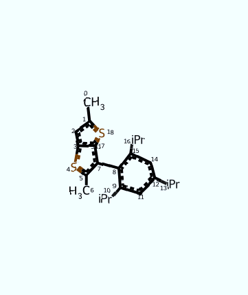 Cc1cc2sc(C)c(-c3c(C(C)C)cc(C(C)C)cc3C(C)C)c2s1